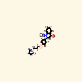 CCn1c(-c2ccc(OCCCN3CCCC3)cc2)cc(=O)c2ccccc21